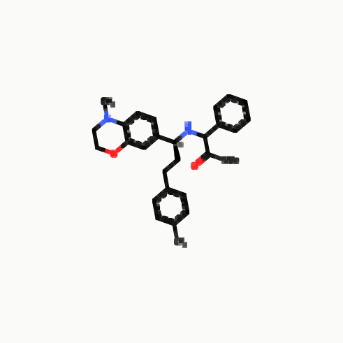 CNC(=O)C(N[C@@H](CCc1ccc(C(F)(F)F)cc1)c1ccc2c(c1)OCCN2C)c1ccccc1